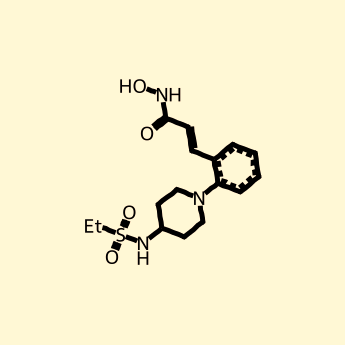 CCS(=O)(=O)NC1CCN(c2ccccc2/C=C/C(=O)NO)CC1